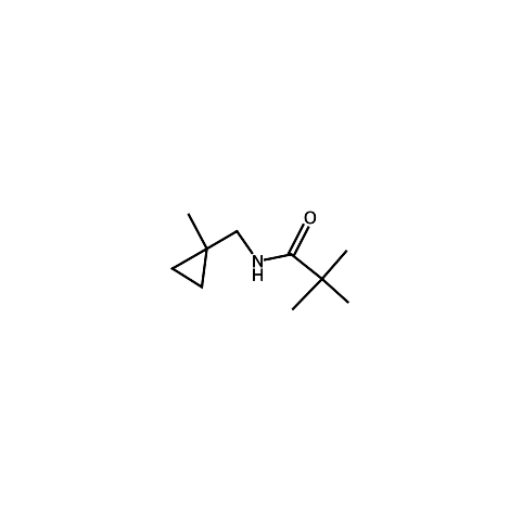 CC1(CNC(=O)C(C)(C)C)CC1